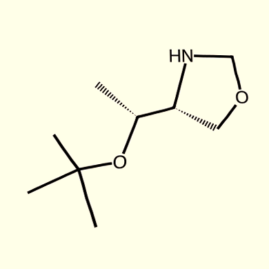 C[C@@H](OC(C)(C)C)[C@H]1COCN1